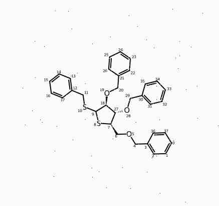 c1ccc(COC[C@H]2SC(SCc3ccccc3)[C@@H](OCc3ccccc3)[C@@H]2OCc2ccccc2)cc1